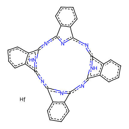 [Hf].c1ccc2c(c1)-c1nc-2nc2[nH]c(nc3nc(nc4[nH]c(n1)c1ccccc41)-c1ccccc1-3)c1ccccc21